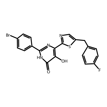 O=c1[nH]c(-c2ccc(Br)cc2)nc(-c2ncc(Cc3ccc(F)cc3)s2)c1O